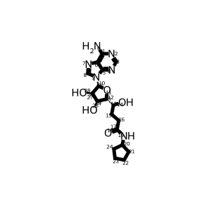 Nc1ncnc2c1ncn2[C@@H]1O[C@H](C(O)CCC(=O)NC2CCCC2)[C@@H](O)[C@H]1O